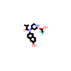 CC(C)C(=O)N(c1ccc2cc(O)ccc2c1)C1CCNCC1.O=C(O)C(F)(F)F